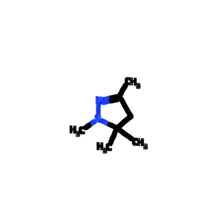 CC1=NN(C)C(C)(C)C1